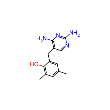 Cc1cc(C)c(O)c(Cc2cnc(N)nc2N)c1